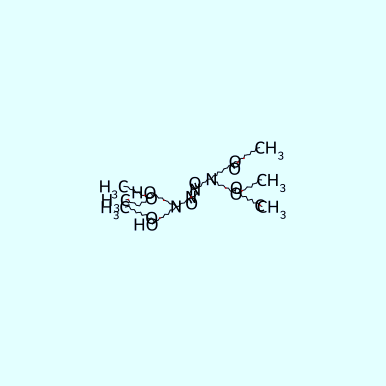 CCCCCCCCCOC(=O)CCCCCCCN(CCCCCCCC(=O)OC(CCCCCCCC)CCCCCCCC)CCCCC(=O)N1CCN(C(=O)CCCCN(CCCCCCCC(O)OCCCCCCCCC)CCCCCCCC(O)OC(CCCCCCCC)CCCCCCCC)CC1